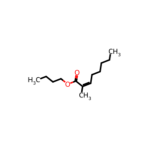 CCCCCC=C(C)C(=O)OCCCC